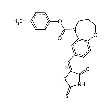 Cc1ccc(OC(=O)N2CCCOc3ccc(/C=C4/SC(=S)NC4=O)cc32)cc1